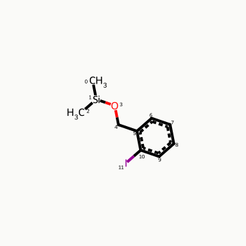 C[Si](C)OCc1ccccc1I